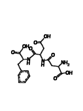 NC(CC(=O)NC(CC(=O)O)C(=O)NC(Cc1ccccc1)C(=O)O)C(=O)O